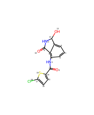 O=C(Nc1cccc2c1C(=O)NC2O)c1ccc(Cl)s1